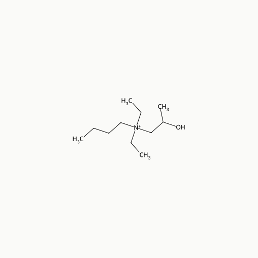 CCCC[N+](CC)(CC)CC(C)O